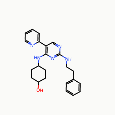 OC1CCC(Nc2nc(NCCc3ccccc3)ncc2-c2ccccn2)CC1